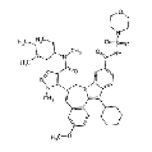 CC[C@H](CN(C)CC)N(C)C(=O)c1cnn(C)c1C1=Cc2cc(OC)ccc2-c2c(C3CCCCC3)c3ccc(C(=O)NS(=O)(=O)N4CCOCC4)cc3n2C1